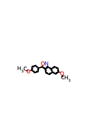 COc1ccc(-c2onc3c2ccc2cc(OC)ccc23)cc1